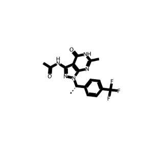 CC(=O)Nc1nn([C@@H](C)c2ccc(C(F)(F)F)cc2)c2nc(C)[nH]c(=O)c12